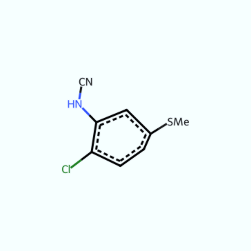 CSc1ccc(Cl)c(NC#N)c1